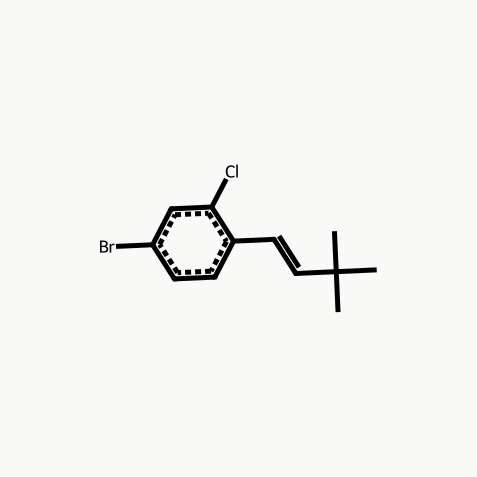 CC(C)(C)/C=C/c1ccc(Br)cc1Cl